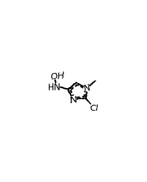 Cn1cc(NO)nc1Cl